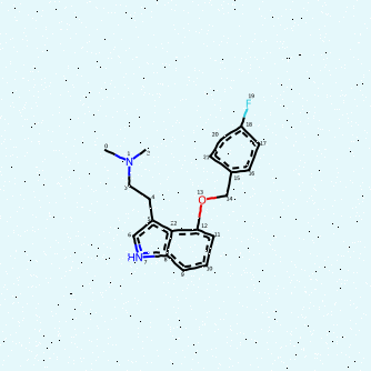 CN(C)CCc1c[nH]c2cccc(OCc3ccc(F)cc3)c12